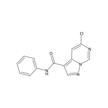 O=C(Nc1ccccc1)c1cnn2cnc(Cl)cc12